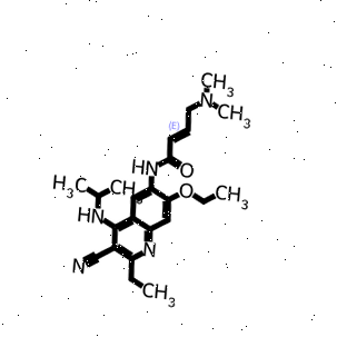 CCOc1cc2nc(CC)c(C#N)c(NC(C)C)c2cc1NC(=O)/C=C/CN(C)C